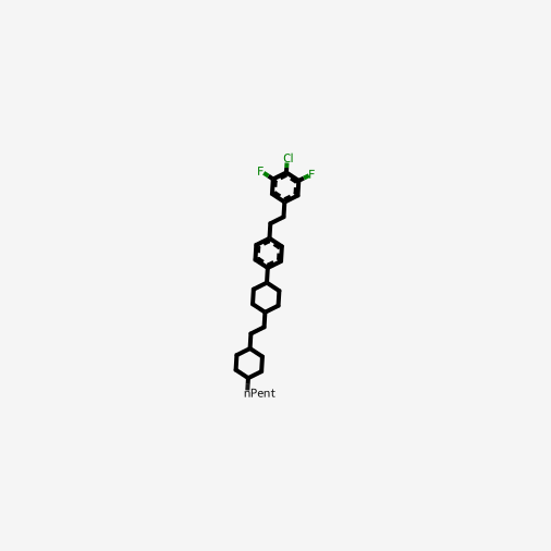 CCCCCC1CCC(CCC2CCC(c3ccc(CCc4cc(F)c(Cl)c(F)c4)cc3)CC2)CC1